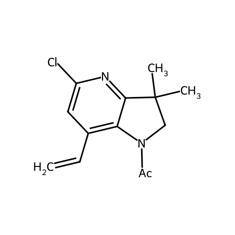 C=Cc1cc(Cl)nc2c1N(C(C)=O)CC2(C)C